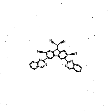 N#CC(C#N)=C1c2cc(C#N)c(-c3ncc4ccccc4n3)cc2-c2cc(-c3ncc4ccccc4n3)c(C#N)cc21